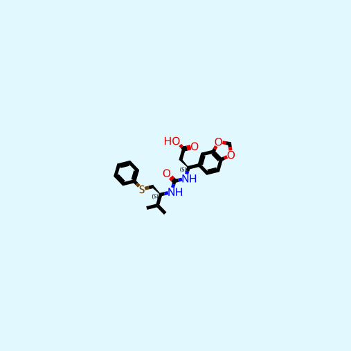 CC(C)[C@@H](CSc1ccccc1)NC(=O)N[C@@H](CC(=O)O)c1ccc2c(c1)OCO2